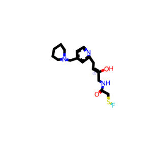 O=C(CSF)NC/C(O)=C/Cc1cc(CN2CCCCC2)ccn1